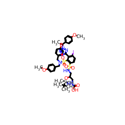 COc1ccc(CN(Cc2ccc(OC)cc2)S(=O)(=O)c2c(S(=O)(=O)NCC(CNC(=O)O)O[Si](C)(C)C(C)(C)C)ccc(I)c2-c2nnn(Cc3ccc(OC)cc3)n2)cc1